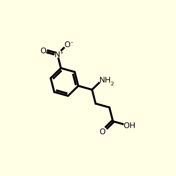 NC(CCC(=O)O)c1cccc([N+](=O)[O-])c1